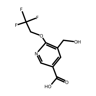 O=C(O)c1cnc(OCC(F)(F)F)c(CO)c1